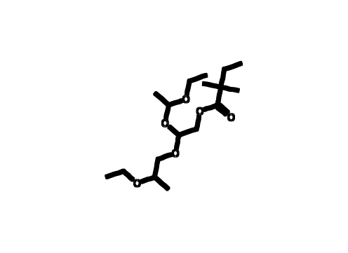 CCOC(C)COC(COC(=O)C(C)(C)CC)OC(C)OCC